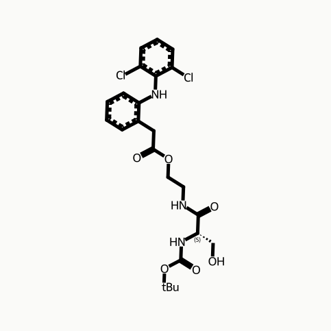 CC(C)(C)OC(=O)N[C@@H](CO)C(=O)NCCOC(=O)Cc1ccccc1Nc1c(Cl)cccc1Cl